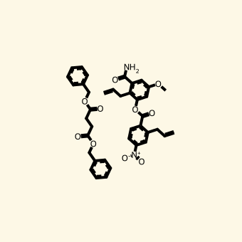 C=CCc1cc([N+](=O)[O-])ccc1C(=O)Oc1cc(OC)cc(C(N)=O)c1CC=C.O=C(CCC(=O)OCc1ccccc1)OCc1ccccc1